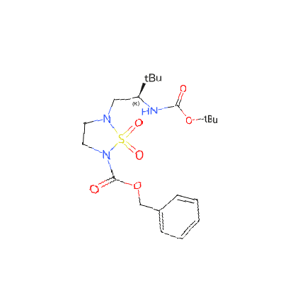 CC(C)(C)OC(=O)N[C@@H](CN1CCN(C(=O)OCc2ccccc2)S1(=O)=O)C(C)(C)C